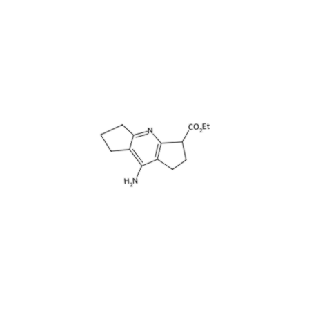 CCOC(=O)C1CCc2c1nc1c(c2N)CCC1